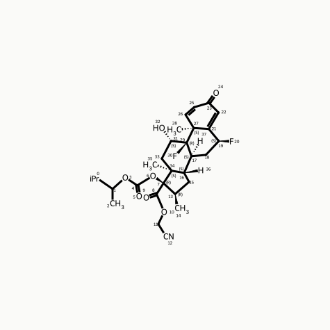 CC(C)C(C)OC(=O)O[C@]1(C(=O)OCC#N)[C@H](C)C[C@H]2[C@@H]3C[C@H](F)C4=CC(=O)C=C[C@]4(C)[C@@]3(F)[C@@H](O)C[C@@]21C